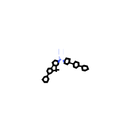 CC1(C)c2cc(Nc3ccc(-c4ccc(-c5ccccc5)cc4)cc3)ccc2-c2ccc(-c3ccccc3)cc21